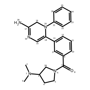 CN(C)C1CCN(C(=O)c2cccc(C3=CN=C(N)CN3c3ccccc3)c2)C1